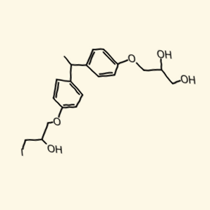 CC(c1ccc(OCC(O)CO)cc1)c1ccc(OCC(O)CI)cc1